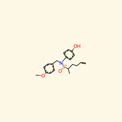 C=CCCC(C)[S+]([O-])N(Cc1ccc(OC)cc1)c1ccc(O)cc1